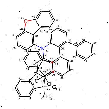 CC1(C)c2ccccc2-c2cc(N(c3cccc(-c4ccccc4)c3-c3cccc4c3-c3ccccc3C4(C)C)c3cccc4oc5ccccc5c34)ccc21